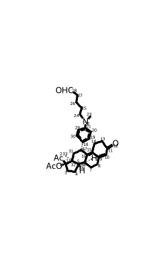 CC(=O)O[C@]1(C(C)=O)CC[C@H]2[C@@H]3CCC4=CC(=O)CCC4=C3[C@@H](c3ccc(N(C)CCCCC=O)cc3)C[C@@]21C